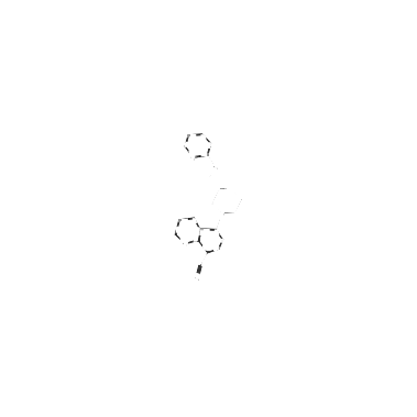 N#Cc1ccc(N2CCO[C@@H](CNc3ccccn3)C2)c2cccnc12